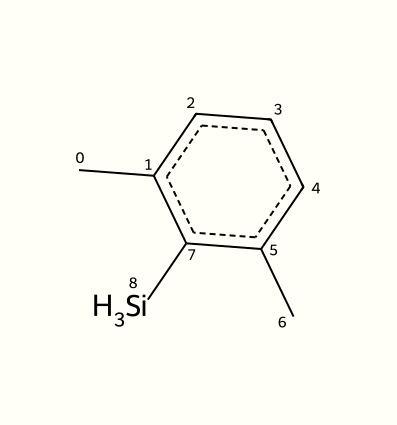 Cc1cccc(C)c1[SiH3]